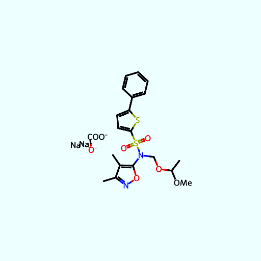 COC(C)OCN(c1onc(C)c1C)S(=O)(=O)c1ccc(-c2ccccc2)s1.O=C([O-])[O-].[Na+].[Na+]